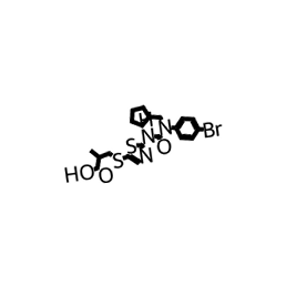 CC(CSc1cnc(NC(=O)N(CC2CCCC2)c2ccc(Br)cc2)s1)C(=O)O